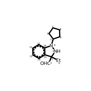 CCC1(C=O)NN(C2CCCC2)c2ccccc21